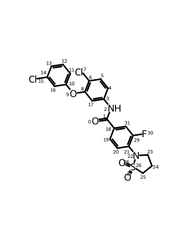 O=C(Nc1ccc(Cl)c(Oc2cccc(Cl)c2)c1)c1ccc(N2CCCS2(=O)=O)c(F)c1